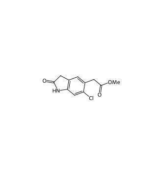 COC(=O)Cc1cc2c(cc1Cl)NC(=O)C2